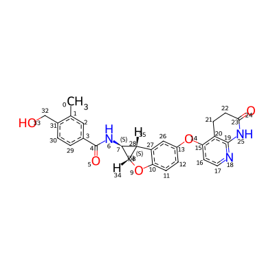 Cc1cc(C(=O)N[C@@H]2[C@H]3Oc4ccc(Oc5ccnc6c5CCC(=O)N6)cc4[C@@H]23)ccc1CO